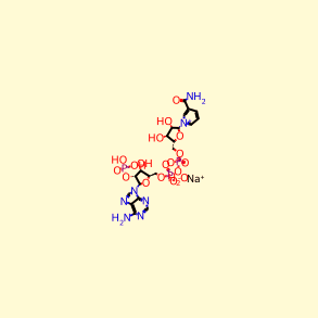 NC(=O)c1ccc[n+]([C@@H]2O[C@H](COP(=O)([O-])OP(=O)([O-])OC[C@H]3O[C@@H](n4cnc5c(N)ncnc54)[C@H](OP(=O)(O)O)[C@@H]3O)[C@@H](O)[C@H]2O)c1.O.[Na+]